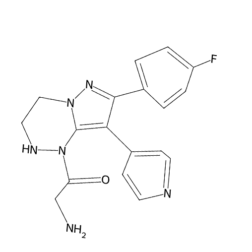 NCC(=O)N1NCCn2nc(-c3ccc(F)cc3)c(-c3ccncc3)c21